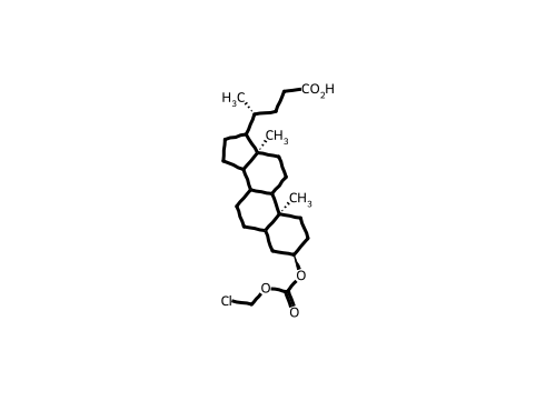 C[C@H](CCC(=O)O)C1CCC2C3CCC4C[C@H](OC(=O)OCCl)CC[C@]4(C)C3CC[C@@]21C